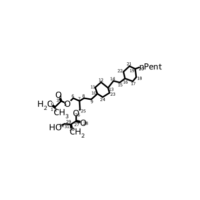 C=C(C)C(=O)OCC(CCC1CCC(CCC2CCC(CCCCC)CC2)CC1)COC(=O)C(=C)CO